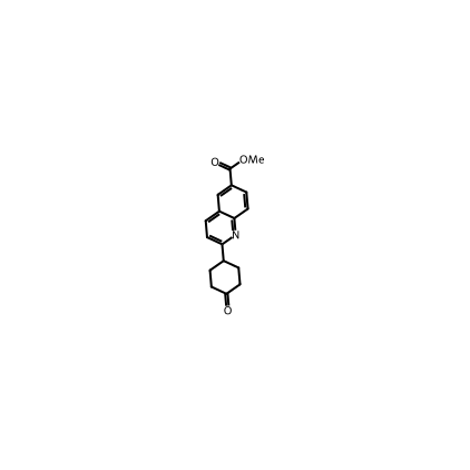 COC(=O)c1ccc2nc(C3CCC(=O)CC3)ccc2c1